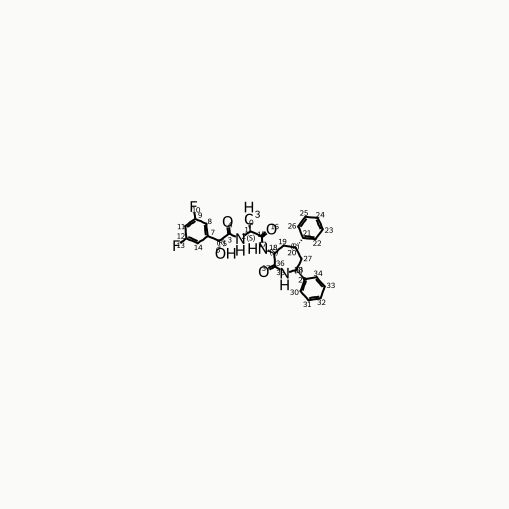 C[C@H](NC(=O)[C@H](O)c1cc(F)cc(F)c1)C(=O)N[C@H]1C[C@H](c2ccccc2)C[C@@H](c2ccccc2)NC1=O